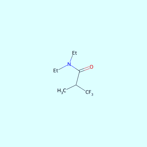 CCN(CC)C(=O)C(C)C(F)(F)F